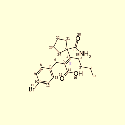 CCCC/C(=C(/Cc1ccc(Br)cc1)C(=O)O)C1(C(N)=O)CCCC1